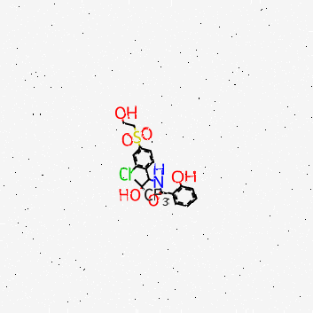 CC(O)(C(NC(=O)c1ccccc1O)c1ccc(S(=O)(=O)CCO)cc1Cl)C(F)(F)F